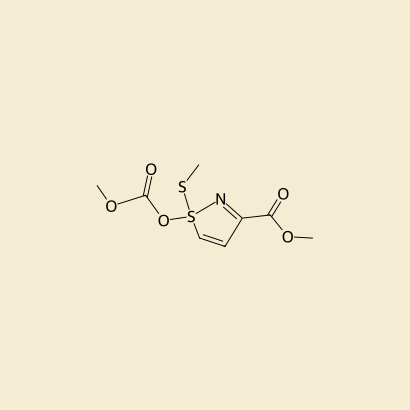 COC(=O)OS1(SC)C=CC(C(=O)OC)=N1